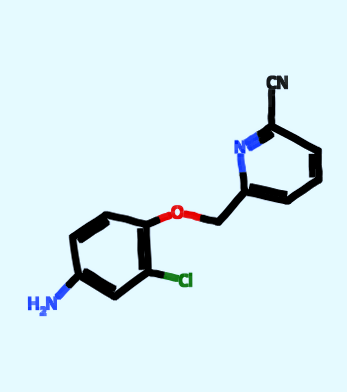 N#Cc1cccc(COc2ccc(N)cc2Cl)n1